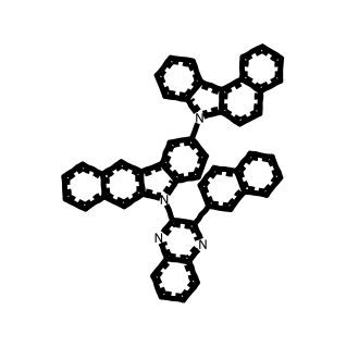 c1ccc2cc(-c3nc4ccccc4nc3-n3c4ccc(-n5c6ccccc6c6c7ccccc7ccc65)cc4c4cc5ccccc5cc43)ccc2c1